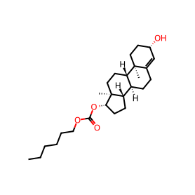 CCCCCCOC(=O)O[C@H]1CC[C@H]2[C@@H]3CCC4=C[C@@H](O)CC[C@]4(C)[C@H]3CC[C@]12C